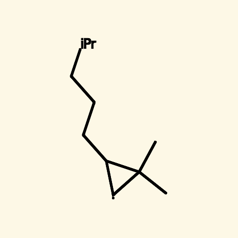 CC(C)CCCC1[CH]C1(C)C